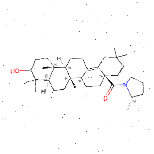 C[C@H]1CCCN1C(=O)[C@]12CCC(C)(C)CC1=C1CC[C@@H]3[C@@]4(C)CCC(O)C(C)(C)[C@@H]4CC[C@@]3(C)[C@]1(C)CC2